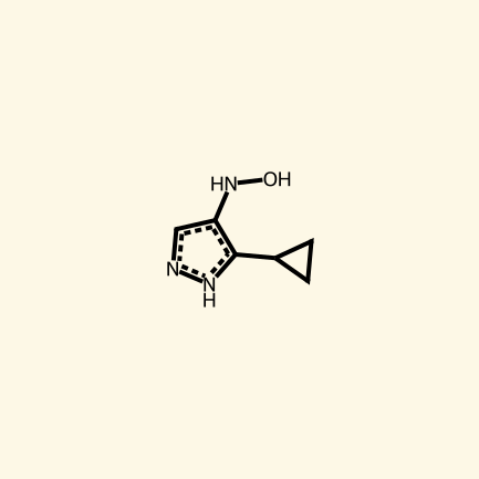 ONc1cn[nH]c1C1CC1